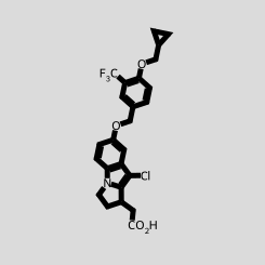 O=C(O)CC1CCn2c1c(Cl)c1cc(OCc3ccc(OCC4CC4)c(C(F)(F)F)c3)ccc12